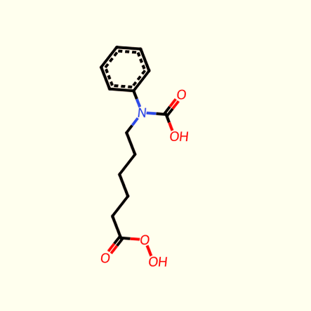 O=C(CCCCCN(C(=O)O)c1ccccc1)OO